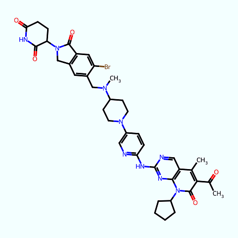 CC(=O)c1c(C)c2cnc(Nc3ccc(N4CCC(N(C)Cc5cc6c(cc5Br)C(=O)N(C5CCC(=O)NC5=O)C6)CC4)cn3)nc2n(C2CCCC2)c1=O